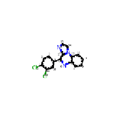 Clc1ccc(-c2nc3ccccc3n3ccnc23)cc1Cl